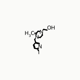 C[C@@H]1CN(CCO)CCN1Cc1ccc(I)nc1